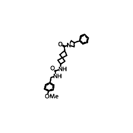 COc1ccc(CNC(=O)NC2CC3(C2)CC(C(=O)N2CC(c4ccccc4)C2)C3)cc1